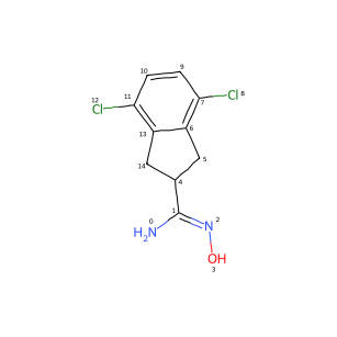 N/C(=N\O)C1Cc2c(Cl)ccc(Cl)c2C1